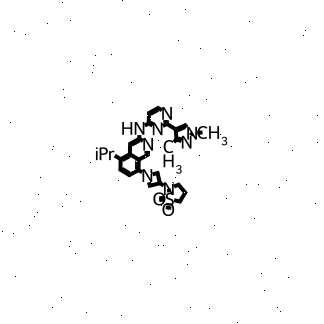 Cc1nn(C)cc1-c1nccc(Nc2cc3c(C(C)C)ccc(N4CC(N5CCCS5(=O)=O)C4)c3cn2)n1